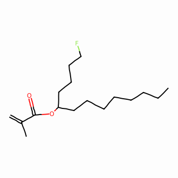 C=C(C)C(=O)OC(CCCCF)CCCCCCCC